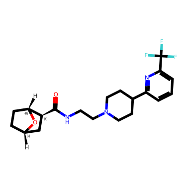 O=C(NCCN1CCC(c2cccc(C(F)(F)F)n2)CC1)[C@H]1C[C@@H]2CC[C@H]1O2